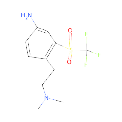 CN(C)CCc1ccc(N)cc1S(=O)(=O)C(F)(F)F